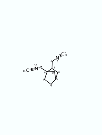 [C-]#[N+]CC1CC2CCC1(C[N+]#[C-])C2